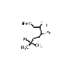 [CH2]C(C)(CC)CCC(CC)C(C)CC(C)CCC